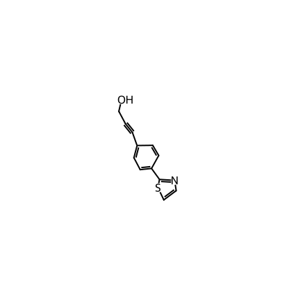 OCC#Cc1ccc(-c2nccs2)cc1